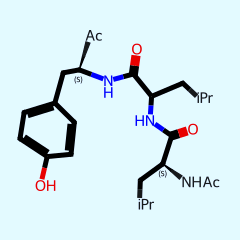 CC(=O)N[C@@H](CC(C)C)C(=O)NC(CC(C)C)C(=O)N[C@@H](Cc1ccc(O)cc1)C(C)=O